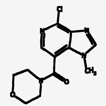 Cn1cnc2c(Cl)ncc(C(=O)N3CCOCC3)c21